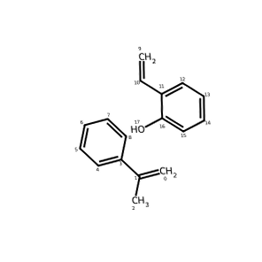 C=C(C)c1ccccc1.C=Cc1ccccc1O